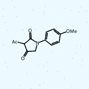 COc1ccc(N2CC(=O)C(C(C)=O)C2=O)cc1